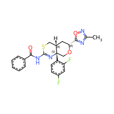 Cc1noc([C@H]2C[C@H]3CSC(NC(=O)c4ccccc4)=N[C@@]3(c3ccc(F)cc3F)CO2)n1